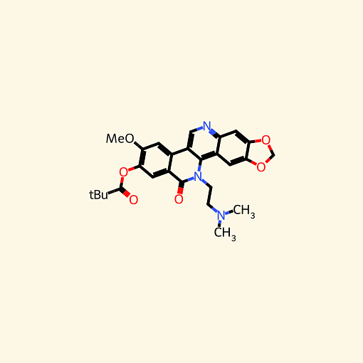 COc1cc2c(cc1OC(=O)C(C)(C)C)c(=O)n(CCN(C)C)c1c3cc4c(cc3ncc21)OCO4